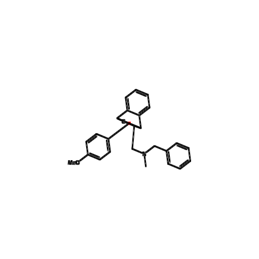 COc1ccc(C2CC3c4ccccc4C2CC3CN(C)Cc2ccccc2)cc1